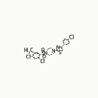 Cc1cc(S(=O)(=O)N2CCN(c3nc(-c4ccc(Cl)cc4)cs3)CC2)c(Cl)cc1Cl